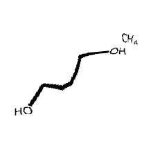 C.OCCCO